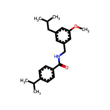 COc1cc(CNC(=O)c2ccc(C(C)C)cc2)cc(CC(C)C)c1